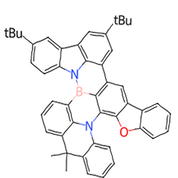 CC(C)(C)c1ccc2c(c1)c1cc(C(C)(C)C)cc3c1n2B1c2cccc4c2N(c2ccccc2C4(C)C)c2c1c-3cc1c2oc2ccccc21